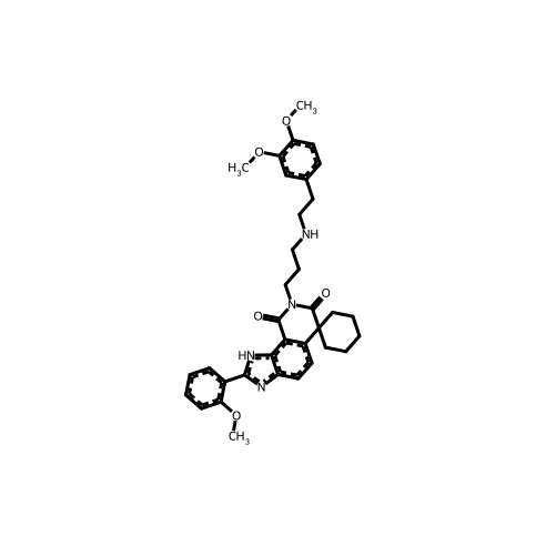 COc1ccc(CCNCCCN2C(=O)c3c(ccc4nc(-c5ccccc5OC)[nH]c34)C3(CCCCC3)C2=O)cc1OC